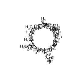 CC[C@H](C)[C@@H]1NC(=O)[C@H](CC(C)C)N(C)C(=O)C[C@@H](C(=O)N(C)C)N(C)C(=O)[C@H](C2CCCC2)N(C)C(=O)C2(CCCC2)NC(=O)[C@@H]2CCCN2C(=O)[C@H](CCc2ccc(C(F)(F)F)c(Cl)c2)NC(=O)CN(C)C(=O)[C@H](Cc2ccc(C)cc2)N(C)C(=O)CN(C)C(=O)CN(C)C1=O